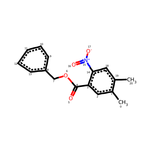 Cc1cc(C(=O)OCc2ccccc2)c([N+](=O)[O-])cc1C